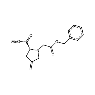 C=C1C[C@@H](C(=O)OC)N(CC(=O)OCc2ccccc2)C1